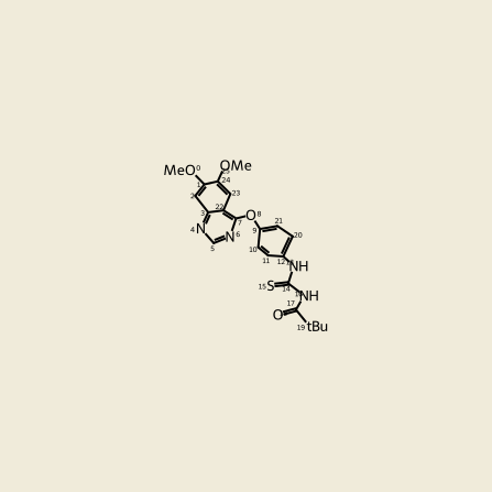 COc1cc2ncnc(Oc3ccc(NC(=S)NC(=O)C(C)(C)C)cc3)c2cc1OC